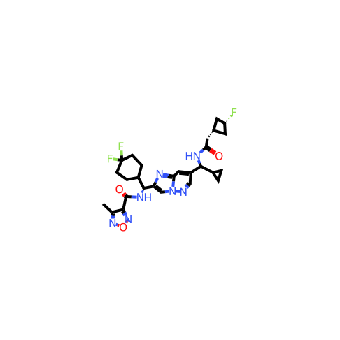 Cc1nonc1C(=O)N[C@H](c1cn2ncc(C(NC(=O)C[C@H]3C[C@@H](F)C3)C3CC3)cc2n1)C1CCC(F)(F)CC1